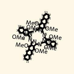 COc1c2c(c(OC)c3cc4ccccc4cc13)-c1nc-2nc2[nH]c(nc3nc(nc4[nH]c(n1)c1c(OC)c5ccccc5c(OC)c41)-c1c-3c(OC)c3cc4ccccc4cc3c1OC)c1c(OC)c3ccccc3c(OC)c21